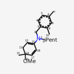 CCCC(C)N(Cc1ccc(C)cc1C)C1=CCC(C)(OC)C=C1